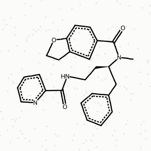 CN(C(=O)c1ccc2c(c1)CCO2)[C@H](CCNC(=O)c1ccccn1)Cc1ccccc1